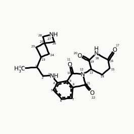 CC(CNc1cccc2c1C(=O)N(C1CCC(=O)NC1=O)C2=O)C1CC2(CNC2)C1